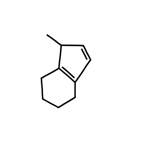 CC1C=CC2=C1CCCC2